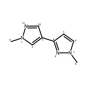 Cn1cc(-c2ccn(C)n2)[c]n1